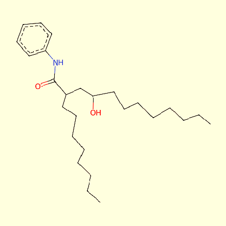 CCCCCCCCC(O)CC(CCCCCCCC)C(=O)Nc1ccccc1